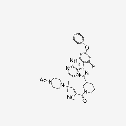 CC(=O)N1CCN(C(C)(C)C=C(C#N)C(=O)N2CCCC(c3nc(-c4ccc(Oc5ccccc5)cc4F)c4c(N)nccn34)C2)CC1